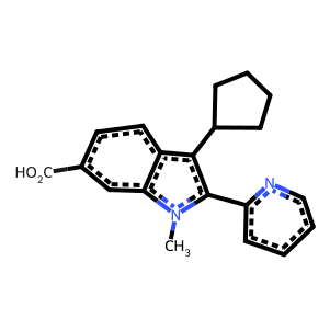 Cn1c(-c2ccccn2)c(C2CCCC2)c2ccc(C(=O)O)cc21